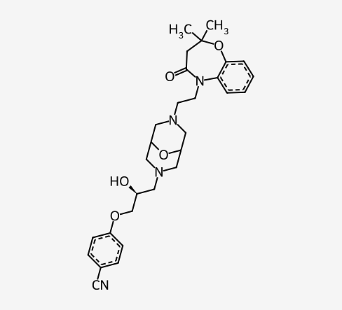 CC1(C)CC(=O)N(CCN2CC3CN(C[C@H](O)COc4ccc(C#N)cc4)CC(C2)O3)c2ccccc2O1